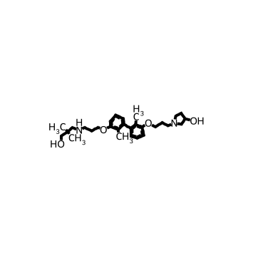 Cc1c(OCCCNCC(C)(C)CO)cccc1-c1cccc(OCCCN2CCC(O)C2)c1C